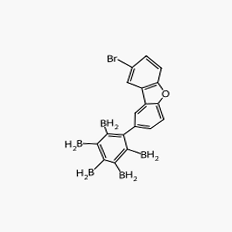 Bc1c(B)c(B)c(-c2ccc3oc4ccc(Br)cc4c3c2)c(B)c1B